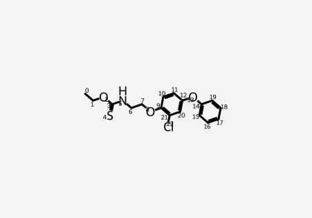 CCOC(=S)NCCOc1ccc(Oc2ccccc2)cc1Cl